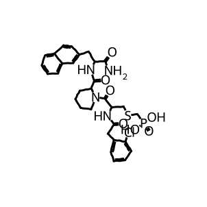 NC(=O)C(Cc1ccc2ccccc2c1)NC(=O)C1CCCCN1C(=O)C(CSCP(=O)(O)O)NC(=O)Cc1ccccc1Cl